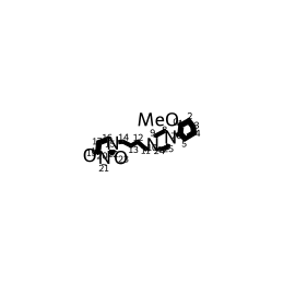 COc1ccccc1N1CCN(CCCCn2ccc(=O)n(C)c2=O)CC1